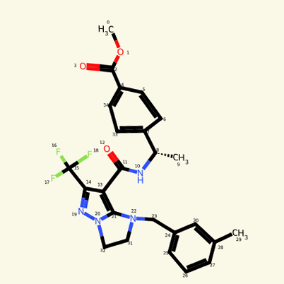 COC(=O)c1ccc([C@H](C)NC(=O)c2c(C(F)(F)F)nn3c2N(Cc2cccc(C)c2)CC3)cc1